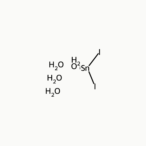 O.O.O.O.[I][Sn][I]